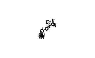 CCc1c(F)cncc1C(=O)Cc1ccc(C2=C(C)CCN(c3nnn(C)n3)C2)cc1